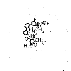 COc1cc(-c2cccc(-c3cccc(NC(=O)c4cn(C)c(=O)n(C)c4=O)c3C)c2Cl)cc(F)c1CN[C@@H]1CCOC1